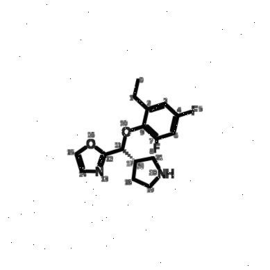 CCc1cc(F)cc(F)c1OC(c1ncco1)[C@H]1CCNC1